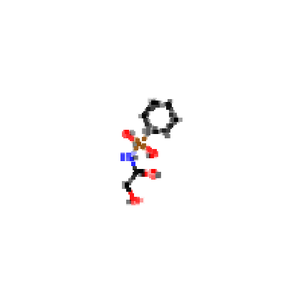 O=C(CO)NS(=O)(=O)c1ccccc1